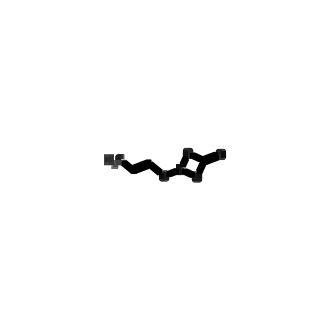 CC=COn1oc(=O)o1